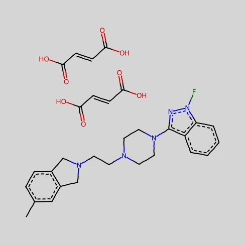 Cc1ccc2c(c1)CN(CCN1CCN(c3nn(F)c4ccccc34)CC1)C2.O=C(O)/C=C/C(=O)O.O=C(O)/C=C/C(=O)O